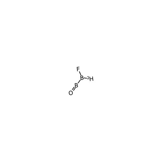 [2H]B(F)B=O